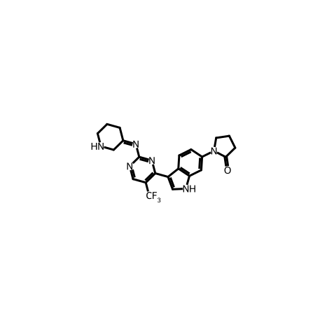 O=C1CCCN1c1ccc2c(-c3nc(/N=C4/CCCNC4)ncc3C(F)(F)F)c[nH]c2c1